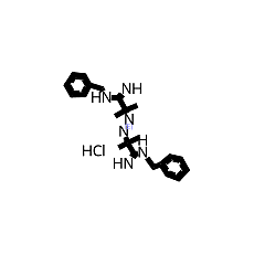 CC(C)(/N=N/C(C)(C)C(=N)NCc1ccccc1)C(=N)NCc1ccccc1.Cl